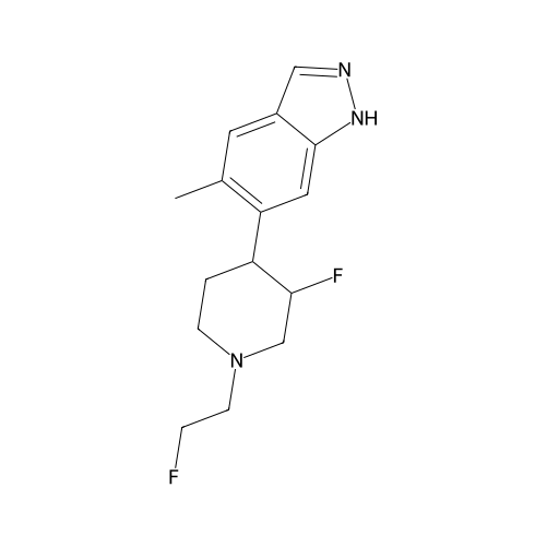 Cc1cc2cn[nH]c2cc1C1CCN(CCF)CC1F